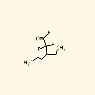 CCCC(CC)C(F)(F)C(=O)F